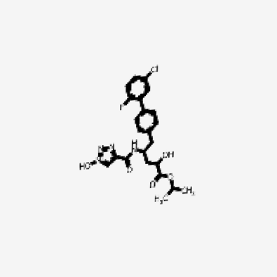 CC(C)OC(=O)C(O)CC(Cc1ccc(-c2cc(Cl)ccc2F)cc1)NC(=O)c1cn(O)nn1